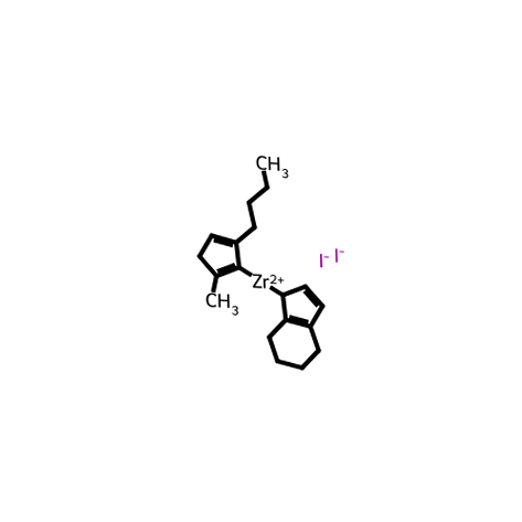 CCCCC1=CCC(C)=[C]1[Zr+2][CH]1C=CC2=C1CCCC2.[I-].[I-]